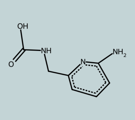 Nc1cccc(CNC(=O)O)n1